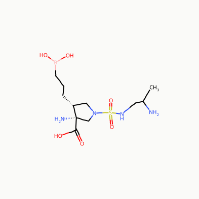 CC(N)CNS(=O)(=O)N1C[C@@H](CCCB(O)O)[C@](N)(C(=O)O)C1